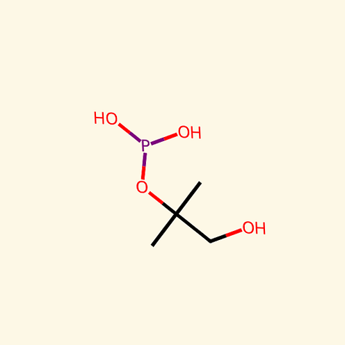 CC(C)(CO)OP(O)O